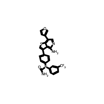 NC(=O)N(c1ccc(-c2csc3c(-c4ccoc4)cnc(N)c23)cc1)c1cccc(C(F)(F)F)c1